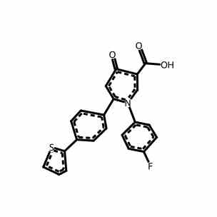 O=C(O)c1cn(-c2ccc(F)cc2)c(-c2ccc(-c3cccs3)cc2)cc1=O